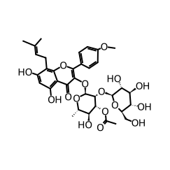 COc1ccc(-c2oc3c(CC=C(C)C)c(O)cc(O)c3c(=O)c2O[C@@H]2O[C@@H](C)[C@H](O)[C@@H](OC(C)=O)[C@H]2O[C@@H]2O[C@H](CO)[C@@H](O)[C@H](O)[C@H]2O)cc1